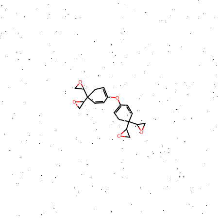 C1=CC(C2CO2)(C2CO2)CC=C1OC1=CCC(C2CO2)(C2CO2)C=C1